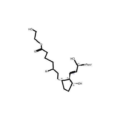 CCCCC[C@H](O)/C=C/[C@@H]1[C@@H](CCC(Br)CCCC(=O)OCCO)CC[C@H]1O